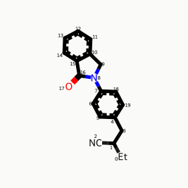 CCC(C#N)Cc1ccc(N2Cc3ccccc3C2=O)cc1